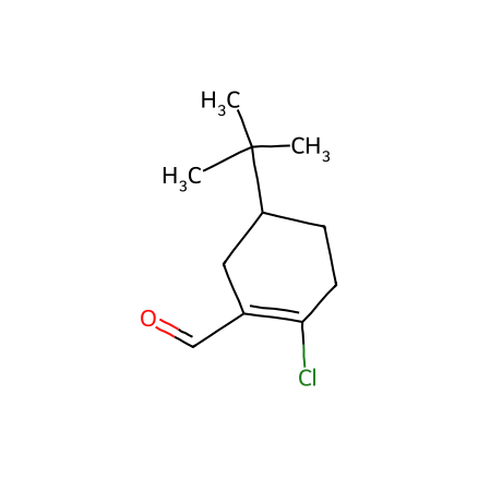 CC(C)(C)C1CCC(Cl)=C(C=O)C1